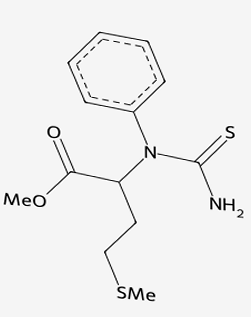 COC(=O)C(CCSC)N(C(N)=S)c1ccccc1